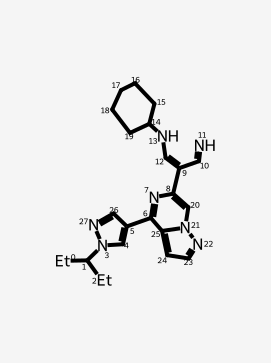 CCC(CC)n1cc(-c2nc(/C(C=N)=C/NC3CCCCC3)cn3nccc23)cn1